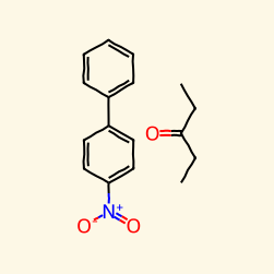 CCC(=O)CC.O=[N+]([O-])c1ccc(-c2ccccc2)cc1